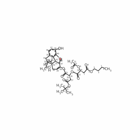 CCCCOC(=O)C[C@H](OC(C)=O)C(=O)O[C@@H](CC(=O)OC(C)(C)C)C(=O)OC1=CC[C@@]2(O)[C@H]3Cc4ccc(O)c5c4[C@@]2(CCN3C)[C@H]1O5